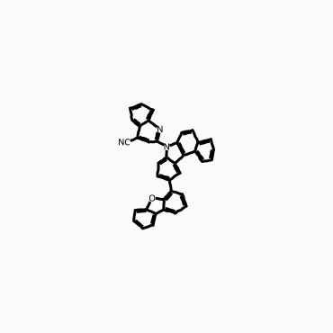 N#Cc1cc(-n2c3ccc(-c4cccc5c4oc4ccccc45)cc3c3c4ccccc4ccc32)nc2ccccc12